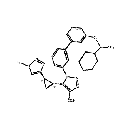 CC(Oc1cccc(-c2cccc(-n3ncc(C(=O)O)c3[C@@H]3C[C@H]3c3cn(C(C)C)nn3)c2)c1)C1CCCCC1